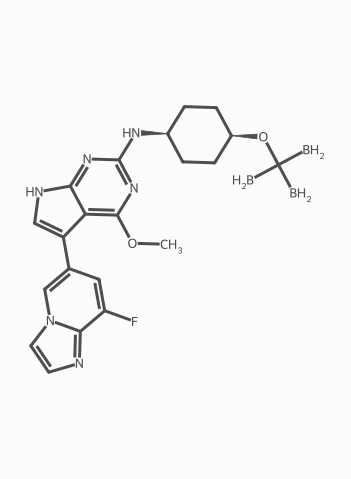 BC(B)(B)O[C@H]1CC[C@@H](Nc2nc(OC)c3c(-c4cc(F)c5nccn5c4)c[nH]c3n2)CC1